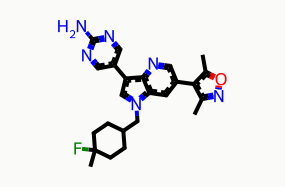 Cc1noc(C)c1-c1cnc2c(-c3cnc(N)nc3)cn(CC3CCC(C)(F)CC3)c2c1